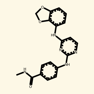 CNC(=O)c1ccc(Nc2nccc(Nc3cccc4c3OCO4)n2)cc1